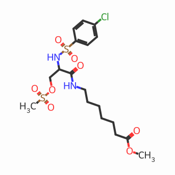 COC(=O)CCCCCCNC(=O)C(COS(C)(=O)=O)NS(=O)(=O)c1ccc(Cl)cc1